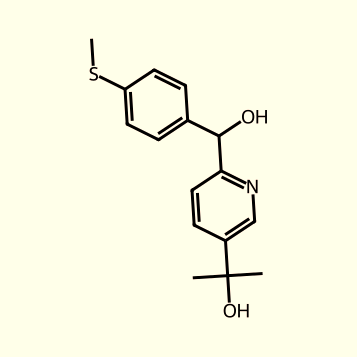 CSc1ccc(C(O)c2ccc(C(C)(C)O)cn2)cc1